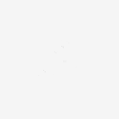 Br.CC1=C[N+](C)(C(c2ccccc2)(c2ccccc2)c2ccccc2)C=[N+]1CCCN1C(=O)c2ccccc2C1=O